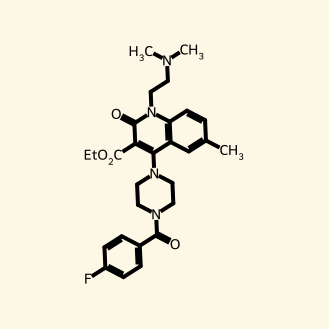 CCOC(=O)c1c(N2CCN(C(=O)c3ccc(F)cc3)CC2)c2cc(C)ccc2n(CCN(C)C)c1=O